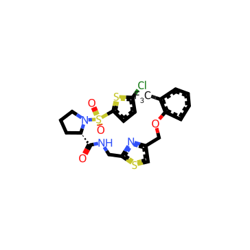 O=C(NCc1nc(COc2ccccc2C(F)(F)F)cs1)[C@@H]1CCCN1S(=O)(=O)c1ccc(Cl)s1